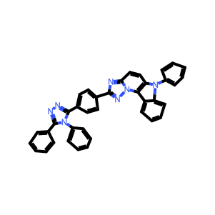 c1ccc(-c2nnc(-c3ccc(-c4nc5ccc6c(c7ccccc7n6-c6ccccc6)n5n4)cc3)n2-c2ccccc2)cc1